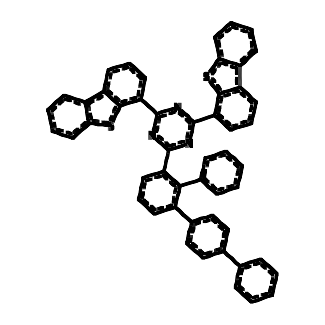 c1ccc(-c2ccc(-c3cccc(-c4nc(-c5cccc6c5sc5ccccc56)nc(-c5cccc6c5sc5ccccc56)n4)c3-c3ccccc3)cc2)cc1